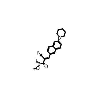 COB(I)C(=O)/C(C#N)=C/c1ccc2cc(N3CCCCC3)ccc2c1